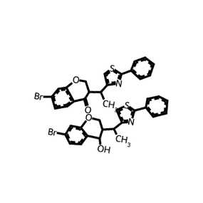 CC(c1csc(-c2ccccc2)n1)C1COc2cc(Br)ccc2C1=O.CC(c1csc(-c2ccccc2)n1)C1COc2cc(Br)ccc2C1O